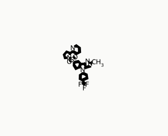 Cn1cc2c(n1)c1cc(S(=O)(=O)N3CCCC3c3ccccn3)ccc1n2-c1ccc(C(F)(F)F)cc1